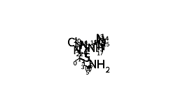 Cc1c(C[C@H](C)N)sc2c(NCc3nccn3C)nc(Cl)nc12